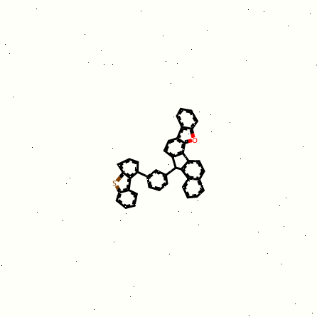 c1cc(-c2cccc3sc4ccccc4c23)cc(C2c3ccc4c(oc5ccccc54)c3-c3ccc4ccccc4c32)c1